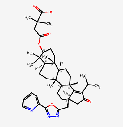 CC(C)C1=C2[C@H]3CC[C@@H]4[C@@]5(C)CC[C@H](OC(=O)CC(C)(C)C(=O)O)C(C)(C)[C@@H]5CC[C@@]4(C)[C@]3(C)CC[C@@]2(Cc2nnc(-c3ccccn3)o2)CC1=O